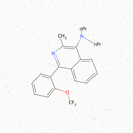 CCCN(CCC)c1c(C)nc(-c2ccccc2OC(F)(F)F)c2ccccc12